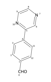 O=Cc1ccc(-c2cnccn2)cc1